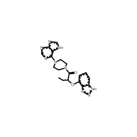 CCC(Oc1cccc2[nH]nnc12)C(=O)N1CCN(c2ncnc3nc[nH]c23)CC1